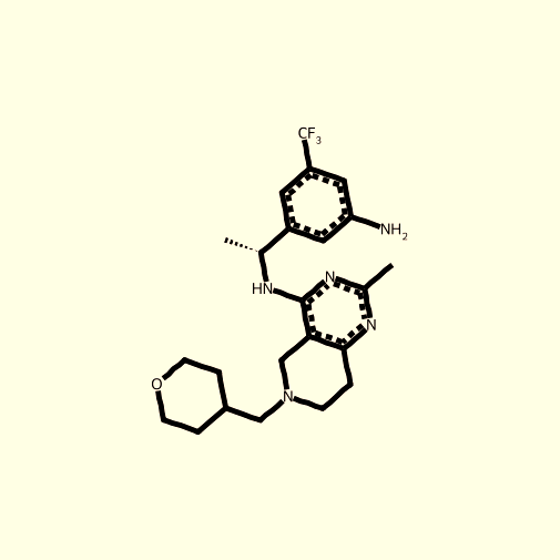 Cc1nc2c(c(N[C@H](C)c3cc(N)cc(C(F)(F)F)c3)n1)CN(CC1CCOCC1)CC2